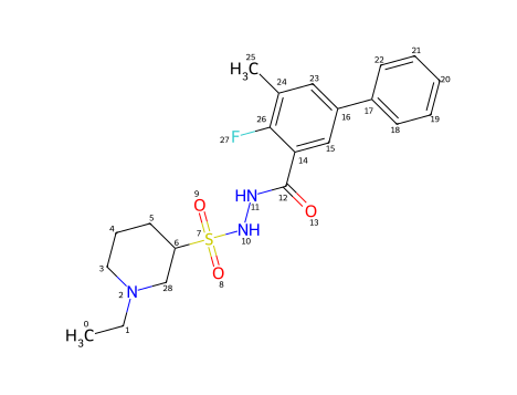 CCN1CCCC(S(=O)(=O)NNC(=O)c2cc(-c3ccccc3)cc(C)c2F)C1